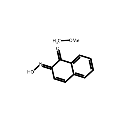 COC.O=C1C(=NO)C=Cc2ccccc21